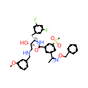 COc1cccc(CNC[C@H](O)[C@H](Cc2cc(F)cc(F)c2)NC(=O)c2cc(/C(C)=N\OCc3ccccc3)cc(S(C)(=O)=O)c2)c1